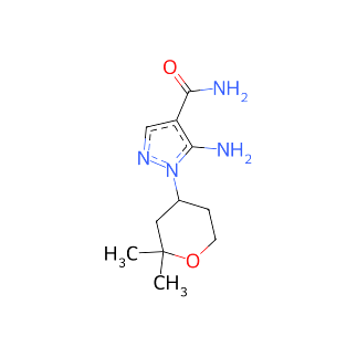 CC1(C)CC(n2ncc(C(N)=O)c2N)CCO1